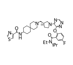 CCN(C(=O)c1cc(F)ccc1Oc1nncnc1N1CC[C@@H](CN2CCC3(CCC(NC(=O)c4cscn4)CC3)CC2)C1)C(C)C